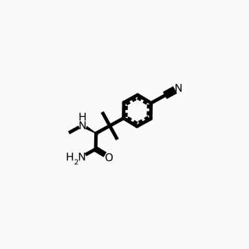 CN[C@H](C(N)=O)C(C)(C)c1ccc(C#N)cc1